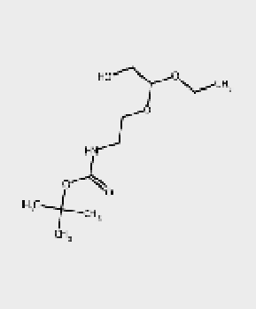 CCOC(CO)OCCNC(=O)OC(C)(C)C